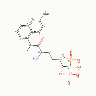 COc1ccc2c(C(C)C(=O)C(N)CCCCC(O)(P(=O)(O)O)P(=O)(O)O)cccc2c1